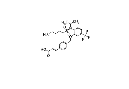 CCCCCS(=O)(=O)N(c1ccc(C(F)(F)F)cc1OCc1ccc(C=CC(=O)O)cc1)C(C)C